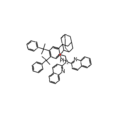 CC(C)(c1ccccc1)c1cc(CP(c2ccc3ccccc3n2)c2ccc3ccccc3n2)c(C23CC4CC(CC(C4)C2CP)C3)cc1C(C)(C)c1ccccc1